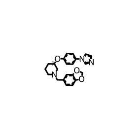 c1cn(-c2ccc(O[C@@H]3CCCN(Cc4ccc5c(c4)OCO5)C3)cc2)cn1